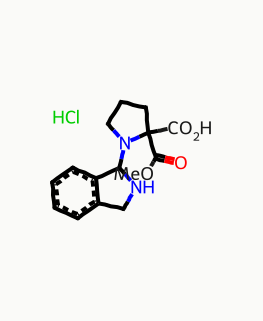 COC(=O)C1(C(=O)O)CCCN1C1NCc2ccccc21.Cl